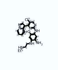 CCNCCNc1cc(OC)c(Nc2ncc(Cl)c(-c3cnn4ccccc34)n2)cc1N